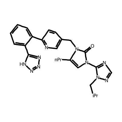 CCCc1cn(-c2ncnn2CC(C)C)c(=O)n1Cc1ccc(-c2ccccc2-c2nnn[nH]2)nc1